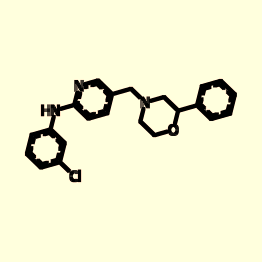 Clc1cccc(Nc2ccc(CN3CCOC(c4ccccc4)C3)cn2)c1